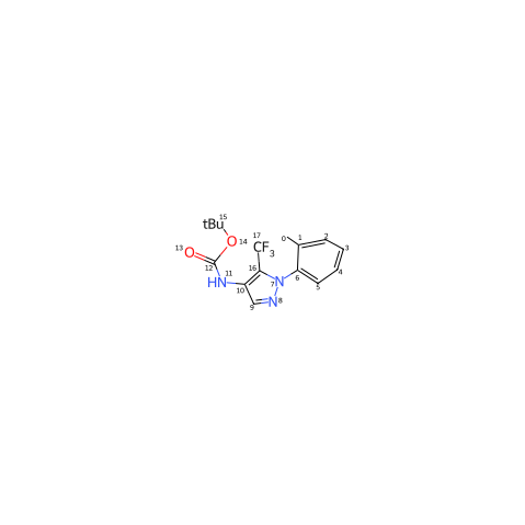 Cc1ccccc1-n1ncc(NC(=O)OC(C)(C)C)c1C(F)(F)F